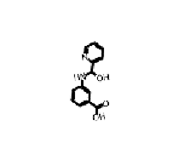 O=C(O)c1cccc(NC(O)c2ccccn2)c1